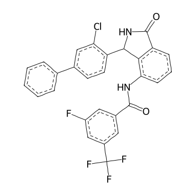 O=C(Nc1cccc2c1C(c1ccc(-c3ccccc3)cc1Cl)NC2=O)c1cc(F)cc(C(F)(F)F)c1